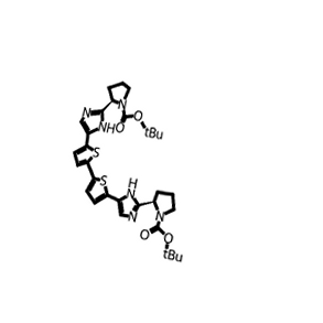 CC(C)(C)OC(=O)N1CCC[C@@H]1c1ncc(-c2ccc(-c3ccc(-c4cnc([C@H]5CCCN5C(=O)OC(C)(C)C)[nH]4)s3)s2)[nH]1